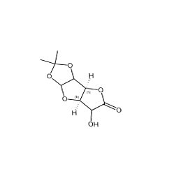 CC1(C)OC2O[C@@H]3C(O)C(=O)O[C@@H]3C2O1